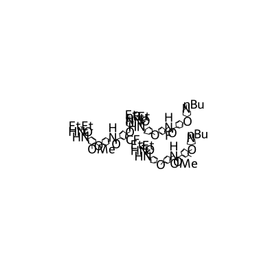 CCCCN1CCC(Oc2ccc(C(=O)Nc3ccc(Oc4ccc(NC(=O)NC(CC)CC)cc4)cc3F)cc2)CC1.CCCCN1CCC(Oc2ccc(C(=O)Nc3ccc(Oc4ccc(NC(=O)NC(CC)CC)cc4)cc3OC)cc2C)CC1.CCCCN1CCC(Oc2ccc(C(=O)Nc3ccc(Oc4ccc(NC(=O)NC(CC)CC)cc4OC)cc3)cc2C(F)(F)F)CC1